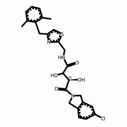 Cc1cccc(C)c1Cc1csc(CNC(=O)C(O)[C@@H](O)C(=O)N2Cc3ccc(Cl)cc3C2)n1